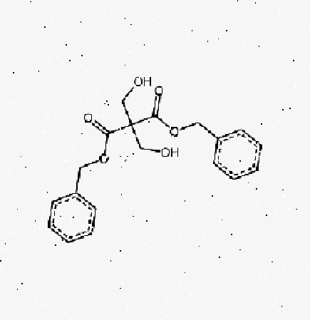 O=C(OCc1ccccc1)C(CO)(CO)C(=O)OCc1ccccc1